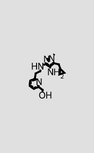 Cn1nc(NCCc2cccc(CO)n2)c(N)c1CC1CC1